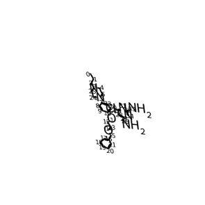 CCCN1CCN(c2ccc(OCCOCc3ccccc3)cc2)CC1.Nc1cc(Cl)nc(N)n1